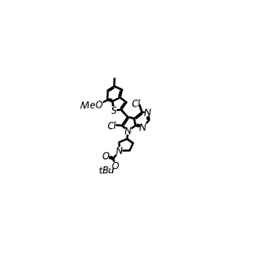 COc1cc(C)cc2cc(-c3c(Cl)n(C4CCN(C(=O)OC(C)(C)C)C4)c4ncnc(Cl)c34)sc12